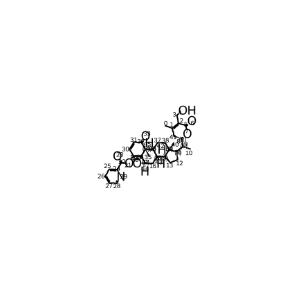 CC1=C(CO)C(=O)O[C@@H]([C@@H](C)[C@H]2CC[C@H]3[C@@H]4C[C@H]5O[C@]56[C@@H](OC(=O)c5ccccn5)C=CC(=O)[C@]6(C)[C@H]4CC[C@]23C)C1